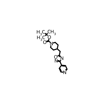 CC(C)(C)OC(=O)N1CCC(Cc2nc(-c3ccncc3)no2)CC1